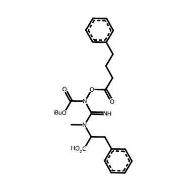 CC(C)COC(=O)N(OC(=O)CCCc1ccccc1)C(=N)N(C)C(Cc1ccccc1)C(=O)O